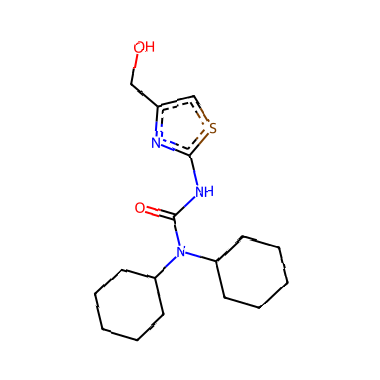 O=C(Nc1nc(CO)cs1)N(C1CCCCC1)C1CCCCC1